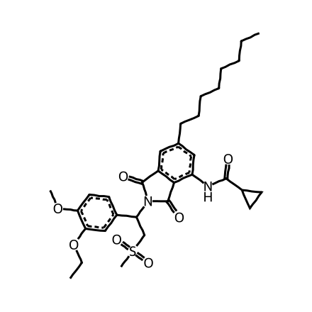 CCCCCCCCc1cc(NC(=O)C2CC2)c2c(c1)C(=O)N(C(CS(C)(=O)=O)c1ccc(OC)c(OCC)c1)C2=O